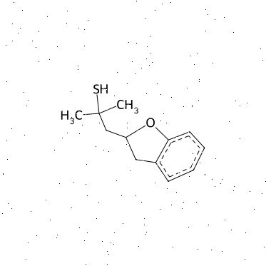 CC(C)(S)CC1Cc2ccccc2O1